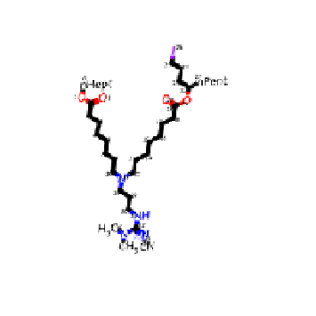 CCCCCCCOC(=O)CCCCCCCN(CCCCCCCC(=O)OC(CCCI)CCCCC)CCCN/C(=N/C#N)N(C)C